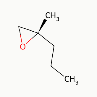 CCC[C@@]1(C)CO1